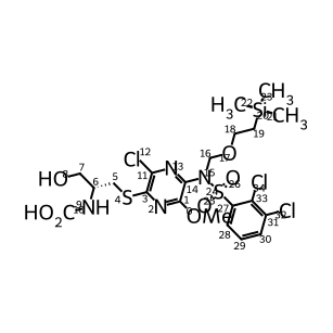 COc1nc(SC[C@@H](CO)NC(=O)O)c(Cl)nc1N(COCC[Si](C)(C)C)S(=O)(=O)c1cccc(Cl)c1Cl